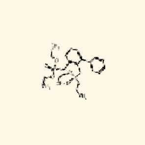 CCOP(=O)(Cc1cccc(-c2ccccc2)c1CP(=O)(OCC)OCC)OCC